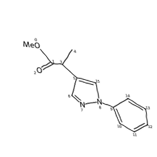 COC(=O)C(C)c1cnn(-c2ccccc2)c1